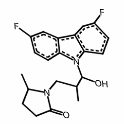 CC(CN1C(=O)CCC1C)C(O)n1c2ccc(F)cc2c2cc(F)ccc21